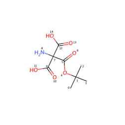 CC(C)(C)OC(=O)C(N)(C(=O)O)C(=O)O